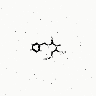 CCCCOCC(C(=O)O)N(C)C(=O)OCc1ccccc1